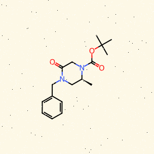 C[C@H]1CN(Cc2ccccc2)C(=O)CN1C(=O)OC(C)(C)C